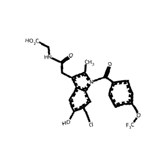 Cc1c(CC(=O)NCC(=O)O)c2cc(O)c(Cl)cc2n1C(=O)c1ccc(OC(F)(F)F)cc1